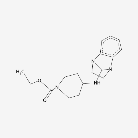 CCOC(=O)N1CCC(NC2N3CCN2c2ccccc23)CC1